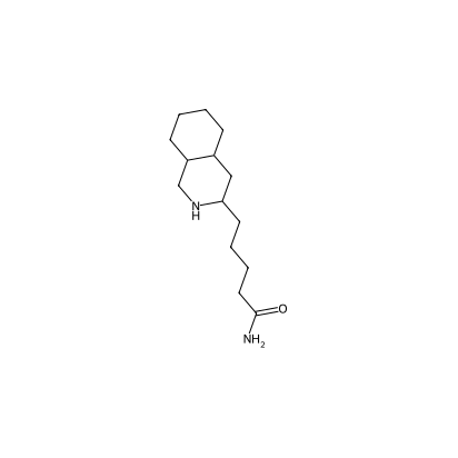 NC(=O)CCCCC1CC2CCCCC2CN1